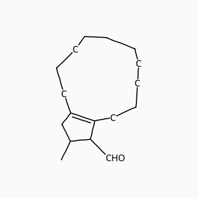 CC1CC2=C(CCCCCCCCCC2)C1C=O